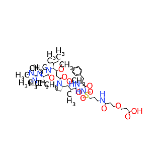 CC[C@H](C)[C@@H]([C@H](CC(=O)N1CCC[C@H]1[C@H](OC)[C@@H](C)C(=O)N[C@@H](Cc1ccccc1)C(=O)NS(=O)(=O)CCCNC(=O)CCOCCC(=O)O)OC)N(C)C(=O)[C@@H](N=C(N(C)C)N(C)C)C(C)C